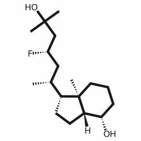 C[C@H](C[C@H](F)CC(C)(C)O)[C@H]1CC[C@H]2[C@@H](O)CCC[C@]12C